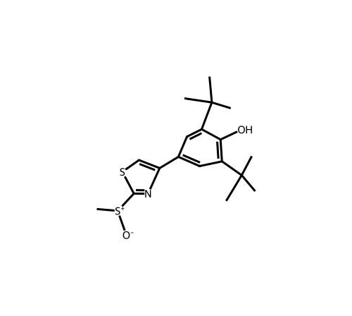 C[S+]([O-])c1nc(-c2cc(C(C)(C)C)c(O)c(C(C)(C)C)c2)cs1